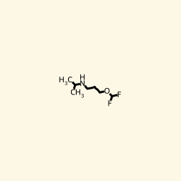 CC(C)NCCCOC(F)F